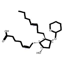 CCCC/C=C/CC[C@@H]1[C@@H](C/C=C\CCCC(=O)O)[C@@H](O)C[C@H]1OC1CCCCO1